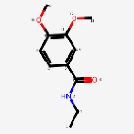 [CH2]CNC(=O)c1ccc(OC)c(OC)c1